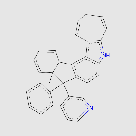 CC12C=CC=CC1c1c(ccc3[nH]c4c(c13)C=CCC=C4)C2(c1ccccc1)c1cccnc1